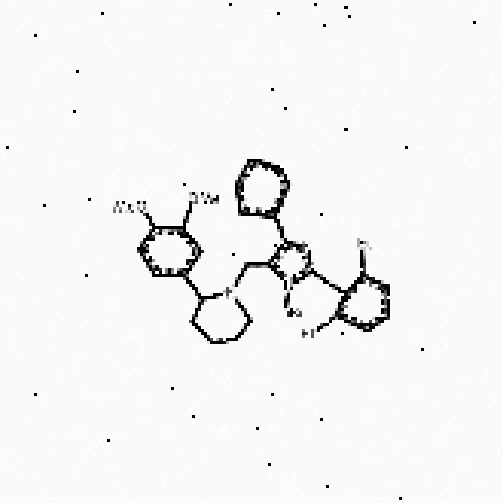 CCCCn1c(-c2c(CC)cccc2CC)nc(-c2ccccc2)c1CN1CCCCC1c1ccc(OC)c(OC)c1